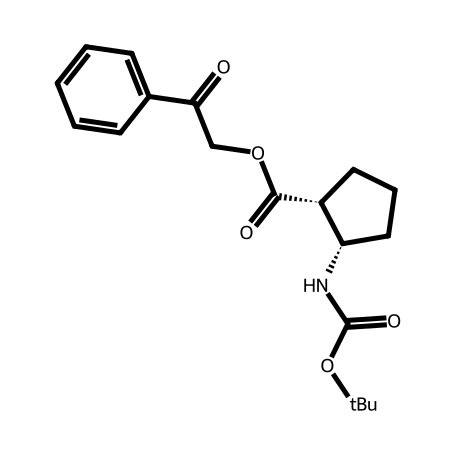 CC(C)(C)OC(=O)N[C@H]1CCC[C@H]1C(=O)OCC(=O)c1ccccc1